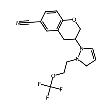 N#Cc1ccc2c(c1)CC(N1C=CCN1CCOC(F)(F)F)CO2